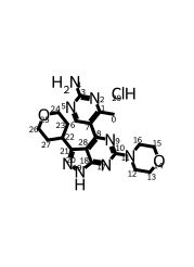 Cc1nc(N)ncc1-c1nc(N2CCOCC2)nc2[nH]nc(C3CCOCC3)c12.Cl